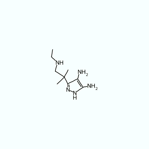 CCNCC(C)(C)c1n[nH]c(N)c1N